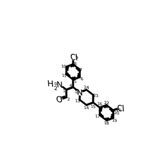 NC(C=O)C(c1ccc(Cl)cc1)N1CCC(c2cccc(Cl)c2)CC1